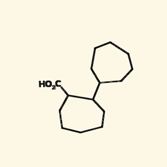 O=C(O)C1CCCCCC1C1CCCCCC1